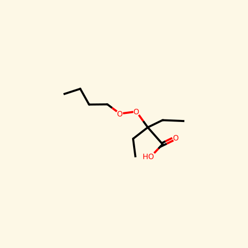 CCCCOOC(CC)(CC)C(=O)O